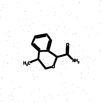 CC1COC(C(N)=O)c2ccccc21